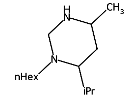 CCCCCCN1CNC(C)CC1C(C)C